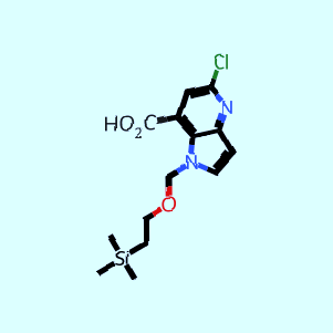 C[Si](C)(C)CCOCn1ccc2nc(Cl)cc(C(=O)O)c21